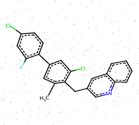 Cc1cc(-c2ccc(Cl)cc2F)cc(Cl)c1Cc1cnc2ccccc2c1